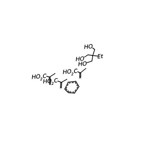 C=C(C)C(=O)O.C=C(C)C(=O)O.C=C(C)C(=O)O.CCC(CO)(CO)CO.c1ccccc1